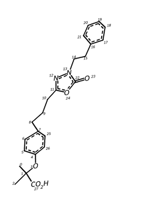 CC(C)(Oc1ccc(CCCc2nn(CCc3ccccc3)c(=O)o2)cc1)C(=O)O